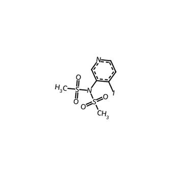 CS(=O)(=O)N(c1cnccc1I)S(C)(=O)=O